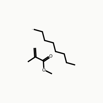 C=C(C)C(=O)OC.[CH2]CCCCCCC